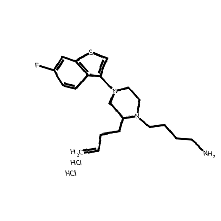 C=CCCC1CN(c2csc3cc(F)ccc23)CCN1CCCCN.Cl.Cl